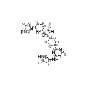 Cc1cc(Nc2cc(C)[nH]n2)nc(C2CCC(C(=O)NC(C)c3ccc(-n4cc(F)cn4)nc3)CC2)n1